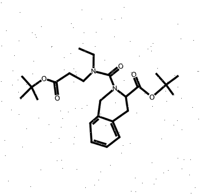 CCN(CCC(=O)OC(C)(C)C)C(=O)N1Cc2ccccc2CC1C(=O)OC(C)(C)C